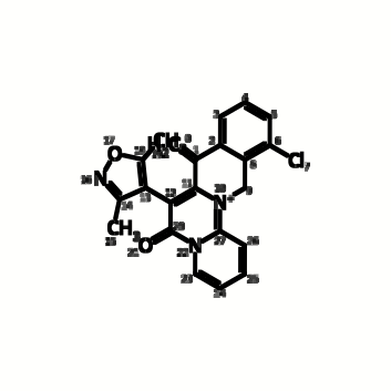 C=C1c2cccc(Cl)c2C[n+]2c1c(-c1c(C)noc1C)c(=O)n1ccccc12